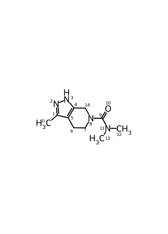 Cc1n[nH]c2c1CCN(C(=O)N(C)C)C2